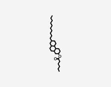 CCCCCCCCCCC1CCC2C(CCC3CC(OC(=O)CCCCC)CCC32)C1